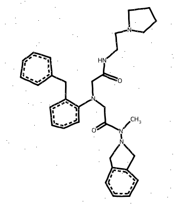 CN(C(=O)CN(CC(=O)NCCN1CCCC1)c1ccccc1Cc1ccccc1)N1Cc2ccccc2C1